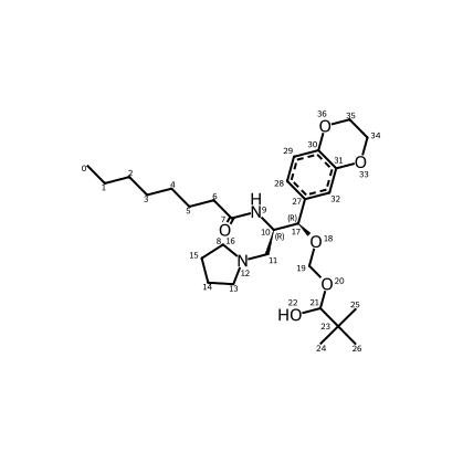 CCCCCCCC(=O)N[C@H](CN1CCCC1)[C@H](OCOC(O)C(C)(C)C)c1ccc2c(c1)OCCO2